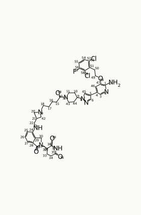 Nc1ncc(-c2cnn(C3CCN(C(=O)CCCCN4CC(CNc5cccc6c5CN([C@@H]5CCC(=O)NC5=O)C6=O)C4)CC3)c2)cc1OCCc1c(Cl)ccc(F)c1Cl